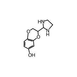 Oc1ccc2c(c1)OC(C1NCCN1)CO2